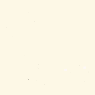 C=C/C(=C\C=C/C)c1ccc2ncc(C#CC3CCCCCCC3)n2c1